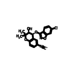 [C-]#[N+]c1ccc2c(c1)[C@@H](Oc1noc3cc(Cl)ccc13)[C@H](O)C(C)(C)O2